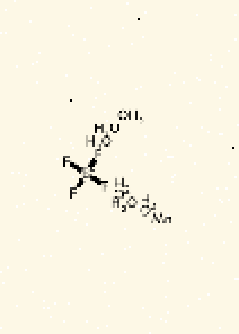 F[B-](F)(F)F.O.O.O.O.O.O.[Mn]